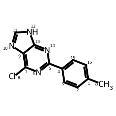 Cc1ccc(-c2nc(Cl)c3nc[nH]c3n2)cc1